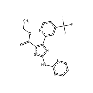 CCOC(=O)c1sc(Nc2ncccn2)nc1-c1cc(C(F)(F)F)ccn1